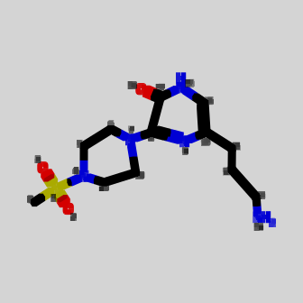 CS(=O)(=O)N1CCN(c2nc(CCCN)c[nH]c2=O)CC1